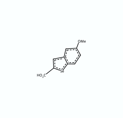 COc1ccc2[se]c(C(=O)O)cc2c1